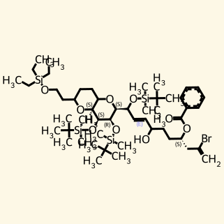 C=C(Br)C[C@H](CCC(O)/C=C/C(O[Si](C)(C)C(C)(C)C)[C@@H]1OC2CCC(CCO[Si](CC)(CC)CC)O[C@@H]2[C@H](O[Si](C)(C)C(C)(C)C)[C@@H]1O[Si](C)(C)C(C)(C)C)OC(=O)c1ccccc1